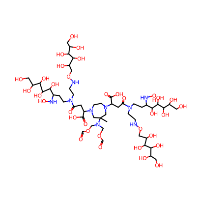 CC1(N(COC=O)COC=O)CN(C(CC(=O)N(CCNOCC(O)C(O)C(O)C(O)CO)CCC(NO)C(O)C(O)C(O)C(O)CO)C(=O)O)CCN(C(CC(=O)N(CCNOCC(O)C(O)C(O)C(O)CO)CCC(NO)C(O)C(O)C(O)C(O)CO)C(=O)O)C1